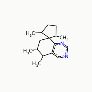 CC1c2cncnc2C2(C[C@H]1C)C(C)CCC2C